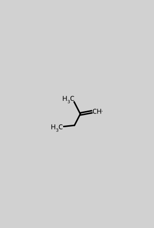 [CH]=C(C)CC